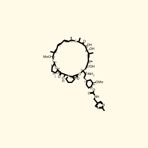 CO[C@H]1C[C@@H]2CC[C@@H](C)[C@@](O)(O2)C(=O)C(O)N2CCCC[C@H]2C(=O)O[C@H]([C@H](N)C[C@@H]2CC[C@@H](OC(=O)NCc3cnc(C)nc3)[C@H](OC)C2)C[C@@H](O)[C@H](C)/C=C(\C)[C@@H](O)[C@@H](O)C(=O)C(C)C[C@H](C)/C=C/C=C/C=C/1C